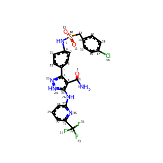 NC(=O)c1c(-c2ccc(NS(=O)(=O)Cc3ccc(Cl)cc3)cc2)n[nH]c1Nc1cccc(C(F)(F)F)n1